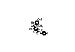 CCCOC1CCC2(CC1)N(CC)C(=O)c1c(O)c(=O)c(C(=O)NCc3ccc(F)cc3F)cn1N2C